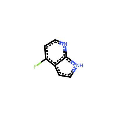 Fc1ccnc2[nH]ccc12